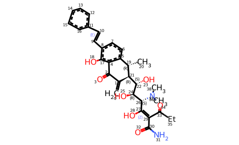 C=C1C(=O)c2c(ccc(/C=C/c3ccccc3)c2O)[C@H](C)[C@H]1[C@H](O)[C@H](O)[C@@H](/C(O)=C(/C(N)=O)C(=O)CC)N(C)C